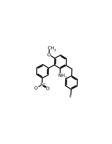 COc1ccc(Cc2ccc(F)cc2)c(N)c1-c1cccc([N+](=O)[O-])c1